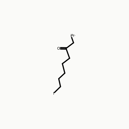 C[C](C)CC(=O)CCCCCI